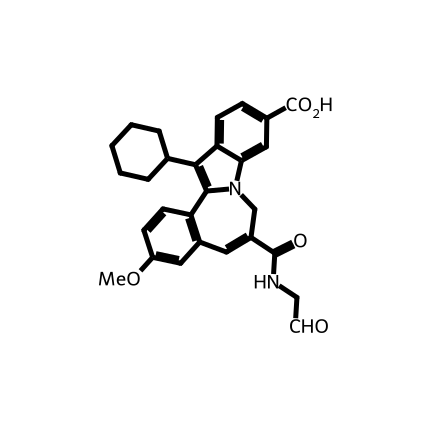 COc1ccc2c(c1)C=C(C(=O)NCC=O)Cn1c-2c(C2CCCCC2)c2ccc(C(=O)O)cc21